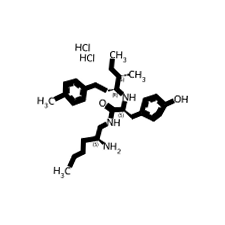 CCCC[C@H](N)CNC(=O)[C@H](Cc1ccc(O)cc1)N[C@H](CCc1ccc(C)cc1)[C@@H](C)CC.Cl.Cl